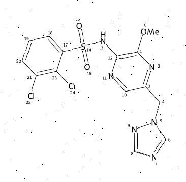 COc1nc(Cn2cncn2)cnc1NS(=O)(=O)c1cccc(Cl)c1Cl